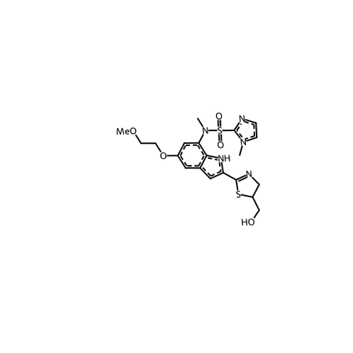 COCCOc1cc(N(C)S(=O)(=O)c2nccn2C)c2[nH]c(C3=NCC(CO)S3)cc2c1